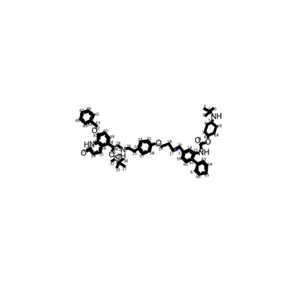 CC(C)(C)NC1CCC(OC(=O)Nc2cc(/C=C/CCOc3ccc(CCNC[C@@H](O[Si](C)(C)C(C)(C)C)c4ccc(OCc5ccccc5)c5[nH]c(=O)ccc45)cc3)ccc2-c2ccccc2)CC1